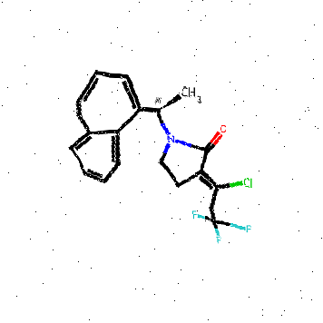 C[C@H](c1cccc2ccccc12)N1CCC(=C(Cl)C(F)(F)F)C1=O